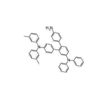 Cc1cccc(N(c2ccc(-c3cc(N(c4ccccc4)c4ccccc4)ccc3-c3ccc(N)cc3)cc2)c2cccc(C)c2)c1